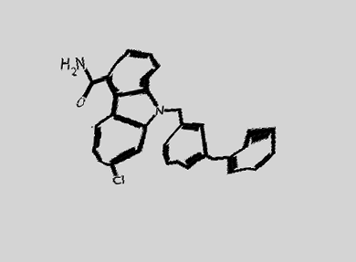 NC(=O)c1cccc2c1c1[c]cc(Cl)cc1n2Cc1cccc(-c2ccccc2)c1